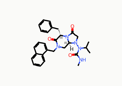 CNC(=O)N(C(C)C)N1CC(=O)N2[C@@H](Cc3ccccc3)C(=O)N(Cc3cccc4ccccc34)C[C@@H]21